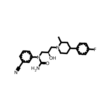 CC1CC(c2ccc(F)cc2)CCN1C[C@@H](O)CN(C(N)=O)c1cccc(C#N)c1